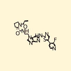 C=CC(=O)N1CCC[C@H]1C(=O)NCCn1cnc2cnc(Nc3ncc(-c4ccncc4F)s3)cc21